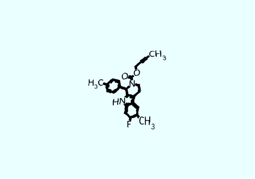 CC#CCOC(=O)N1CCc2c([nH]c3c2=CC(C)C(F)C=3)C1c1ccc(C)cc1